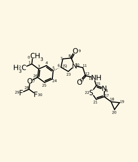 CC(C)c1cc([C@@H]2CC(=O)N(CC(=O)Nc3nc(C4CC4)cs3)C2)ccc1OC(F)F